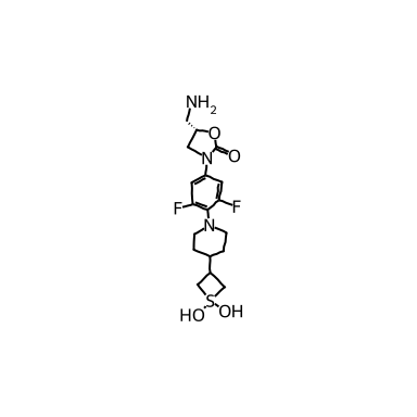 NC[C@H]1CN(c2cc(F)c(N3CCC(C4CS(O)(O)C4)CC3)c(F)c2)C(=O)O1